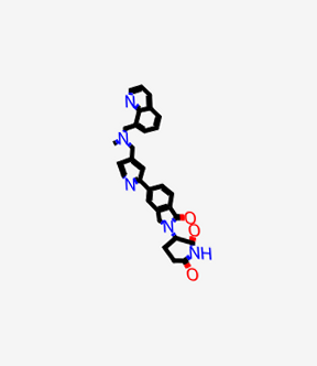 CN(Cc1ccnc(-c2ccc3c(c2)CN(C2CCC(=O)NC2=O)C3=O)c1)Cc1cccc2cccnc12